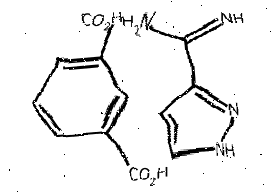 N=C(N)c1cc[nH]n1.O=C(O)c1cccc(C(=O)O)c1